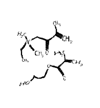 C=C(C)C(=O)C[N+](C)(C)CC.C=C(C)C(=O)OCCO